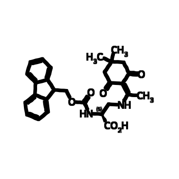 CC(NC[C@H](NC(=O)OCC1c2ccccc2-c2ccccc21)C(=O)O)=C1C(=O)CC(C)(C)CC1=O